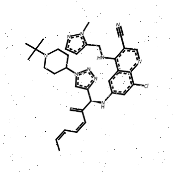 C=C(/C=C\C=C/C)[C@H](Nc1cc(Cl)c2ncc(C#N)c(NCc3ccnn3C)c2c1)c1cn(C2CCN(C(C)(C)C)CC2)nn1